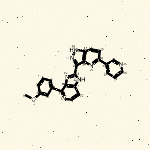 COc1cccc(-c2nccc3[nH]c(-c4n[nH]c5ccc(-c6cccnc6)nc45)nc23)c1